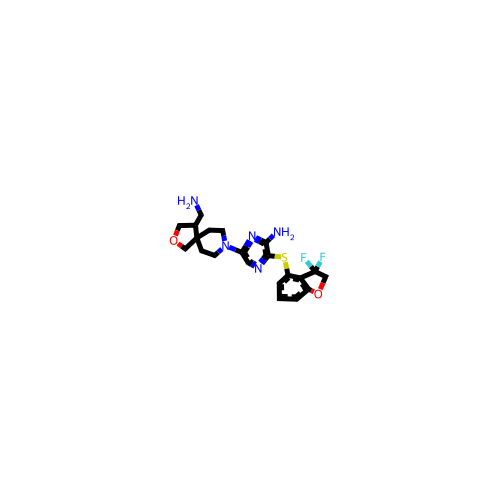 NCC1COCC12CCN(c1cnc(Sc3cccc4c3C(F)(F)CO4)c(N)n1)CC2